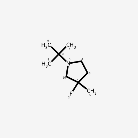 CC1(F)CCN(C(C)(C)C)C1